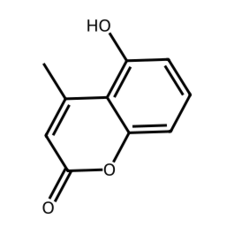 Cc1cc(=O)oc2cccc(O)c12